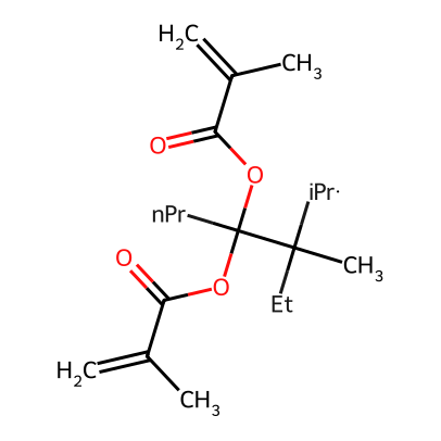 [CH2]CCC(OC(=O)C(=C)C)(OC(=O)C(=C)C)C(C)(CC)[C](C)C